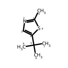 Cc1ncc(C(C)(C)C)s1